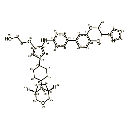 CC(Cn1cncn1)Oc1cc(-c2cnc(Nc3cn(C4CCC(N5[C@@H]6CC[C@H]5COC6)CC4)nc3OCCO)nc2)ccc1Cl